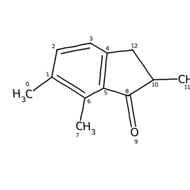 Cc1ccc2c(c1C)C(=O)C(C)C2